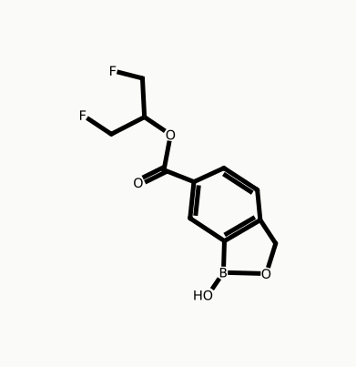 O=C(OC(CF)CF)c1ccc2c(c1)B(O)OC2